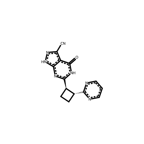 N#Cc1n[nH]c2nc([C@@H]3CC[C@H]3c3ncccn3)[nH]c(=O)c12